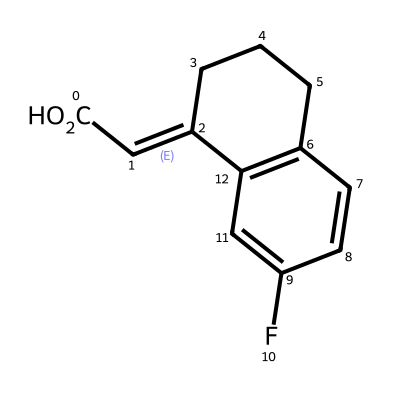 O=C(O)/C=C1\CCCc2ccc(F)cc21